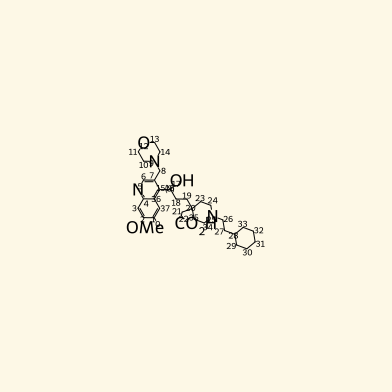 COc1ccc2ncc(CN3CCOCC3)c([C@@H](O)CCC3(CC(=O)O)CCN(CCC4CCCCC4)CC3)c2c1